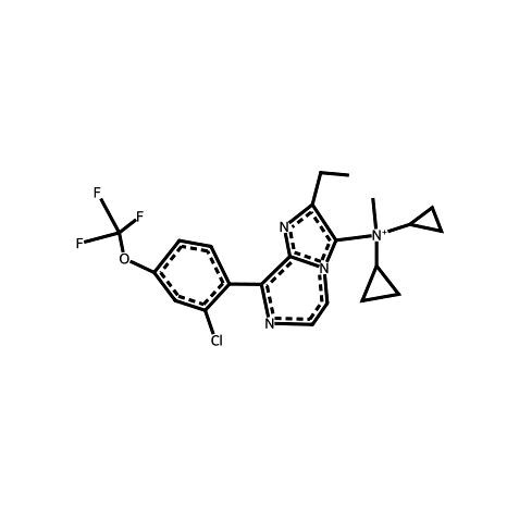 CCc1nc2c(-c3ccc(OC(F)(F)F)cc3Cl)nccn2c1[N+](C)(C1CC1)C1CC1